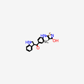 N#Cc1c(O)nsc1Nc1ccc(C(=O)C2CNc3ccccc32)cc1